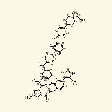 CC(=O)N[C@H](C(=O)N1C[C@H](O)C[C@H]1C(=O)NCc1ccc(-c2scnc2C)cc1OC1CCN(C(=O)C2CCN(c3nccc(Sc4cnc(N5CCC(C)(CN)CC5)cn4)c3Cl)CC2)CC1)C(C)C